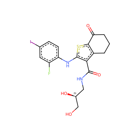 O=C1CCCc2c1sc(Nc1ccc(I)cc1F)c2C(=O)NC[C@H](O)CO